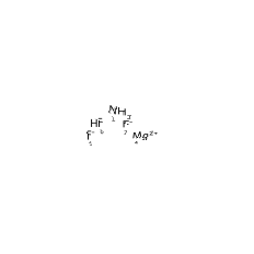 F.N.[F-].[F-].[Mg+2]